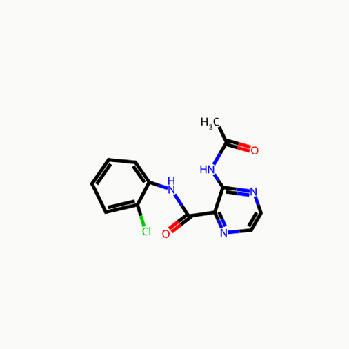 CC(=O)Nc1nccnc1C(=O)Nc1ccccc1Cl